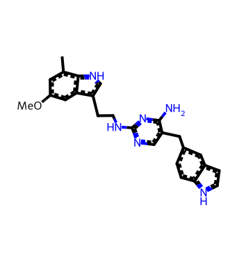 COc1cc(C)c2[nH]cc(CCNc3ncc(Cc4ccc5[nH]ccc5c4)c(N)n3)c2c1